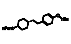 CCCCC[C@H]1CC[C@H](CCC2=CCC(OCCCC)=CC2)CC1